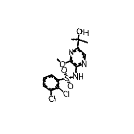 COc1nc(C(C)(C)O)cnc1NS(=O)(=O)c1cccc(Cl)c1Cl